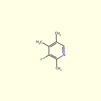 Cc1cnc(C)c(F)c1C